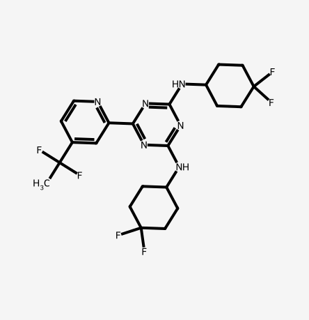 CC(F)(F)c1ccnc(-c2nc(NC3CCC(F)(F)CC3)nc(NC3CCC(F)(F)CC3)n2)c1